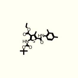 CCOC(=O)c1c(NC(=O)OC(C)(C)C)sc(C(=O)Nc2ccc(C)cc2C)c1C